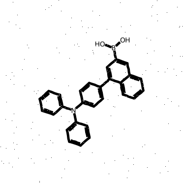 OB(O)c1cc(-c2ccc(N(c3ccccc3)c3ccccc3)cc2)c2ccccc2c1